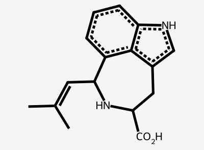 CC(C)=CC1NC(C(=O)O)Cc2c[nH]c3cccc1c23